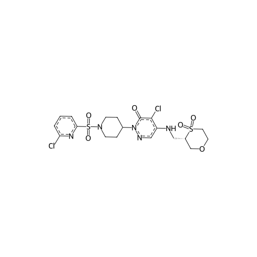 O=c1c(Cl)c(NC[C@H]2COCCS2(=O)=O)cnn1C1CCN(S(=O)(=O)c2cccc(Cl)n2)CC1